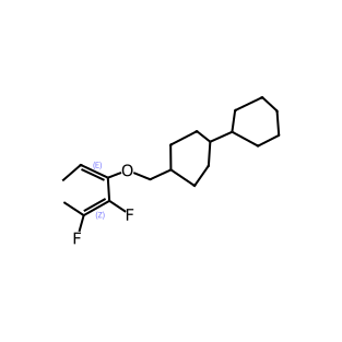 C/C=C(OCC1CCC(C2CCCCC2)CC1)\C(F)=C(/C)F